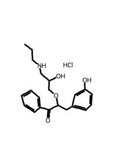 CCCNCC(O)COC(Cc1cccc(O)c1)C(=O)c1ccccc1.Cl